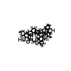 CC(C)c1ccc(Cn2c3c(c(O)c(C(=O)NCC(=O)Oc4c5c(n(Cc6nc(-c7ccccc7)cs6)c(=O)c4C(=O)NCC(=O)O)CSC5)c2=O)CSC3)cc1